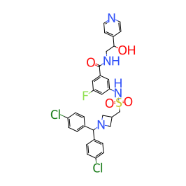 O=C(NCC(O)c1ccncc1)c1cc(F)cc(NS(=O)(=O)CC2CN(C(c3ccc(Cl)cc3)c3ccc(Cl)cc3)C2)c1